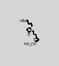 CCCC/C=C/C=C\[C@H]1CCC(=O)N1CCCc1ccc(OC(=O)O)s1